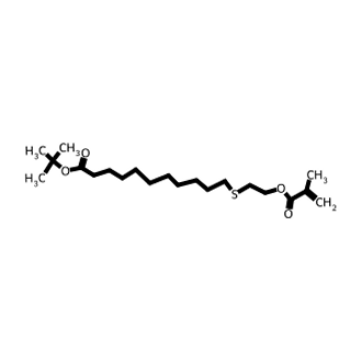 C=C(C)C(=O)OCCSCCCCCCCCCCC(=O)OC(C)(C)C